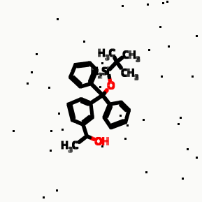 CC(O)c1cccc(C(O[SiH2]C(C)(C)C)(c2ccccc2)c2ccccc2)c1